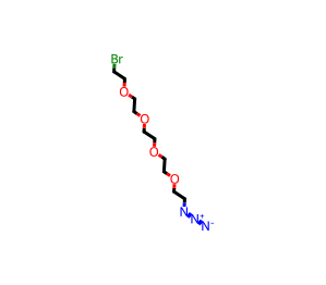 [N-]=[N+]=NCCOCCOCCOCCOCCBr